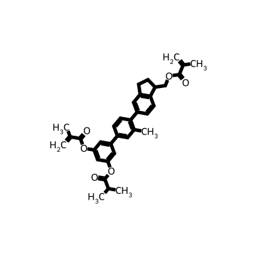 C=C(C)C(=O)OCC1CCc2cc(-c3ccc(-c4cc(OC(=O)C(=C)C)cc(OC(=O)C(C)C)c4)cc3C)ccc21